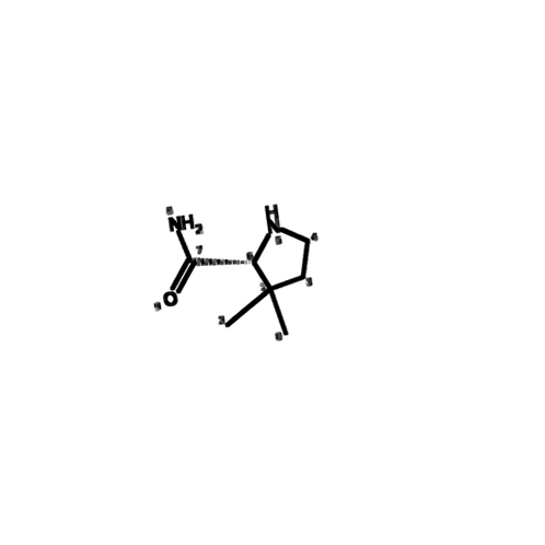 CC1(C)CCN[C@H]1C(N)=O